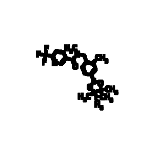 Cc1cc(B2OC(C)(C)C(C)(C)O2)ccc1CN(C)C(=O)c1ccc(C(F)(F)F)nc1